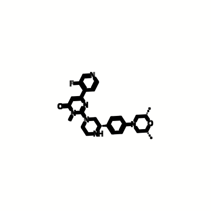 C[C@@H]1CN(c2ccc([C@H]3CN(c4nc(-c5ccncc5F)cc(=O)n4C)CCN3)cc2)C[C@H](C)O1